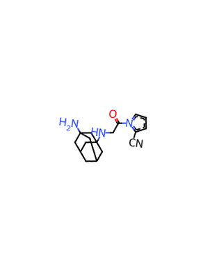 N#Cc1cccn1C(=O)CNC12CC3CC(CC(N)(C3)C1)C2